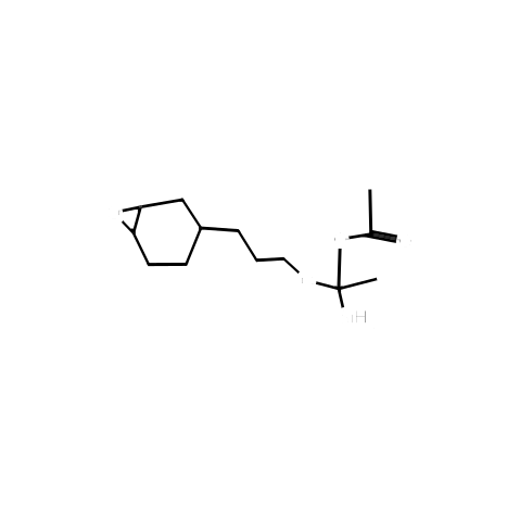 CC(=O)OC(C)([SiH3])OCCCC1CCC2OC2C1